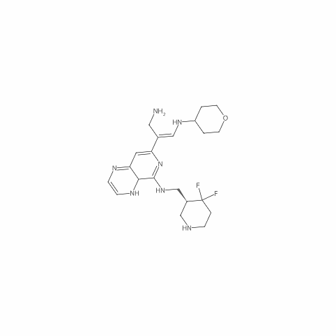 NC/C(=C\NC1CCOCC1)C1=CC2=NC=CNC2C(NC[C@@H]2CNCCC2(F)F)=N1